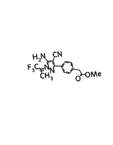 COC(=O)Cc1ccc(-c2nn([C@@H](C)C(F)(F)F)c(N)c2C#N)cc1